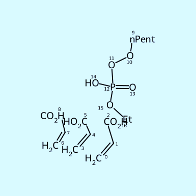 C=CC(=O)O.C=CC(=O)O.C=CC(=O)O.CCCCCOOP(=O)(O)OCC